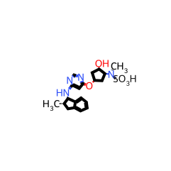 C[C@H]1Cc2ccccc2[C@H]1Nc1cc(O[C@H]2C[C@H](O)[C@@H](N(C)S(=O)(=O)O)C2)ncn1